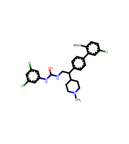 COc1ccc(Cl)cc1-c1ccc(C(CNC(O)Nc2cc(Cl)cc(Cl)c2)C2CCN(C)CC2)cc1